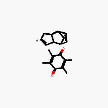 C1=CC2C3C=CC(C3)C2C1.CC1=C(C)C(=O)C(C)=C(C)C1=O.[Ni]